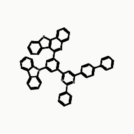 c1ccc(-c2ccc(-c3cc(-c4cc(-c5nc6ccccc6c6sc7ccccc7c56)cc(-n5c6ccccc6c6ccccc65)c4)nc(-c4ccccc4)n3)cc2)cc1